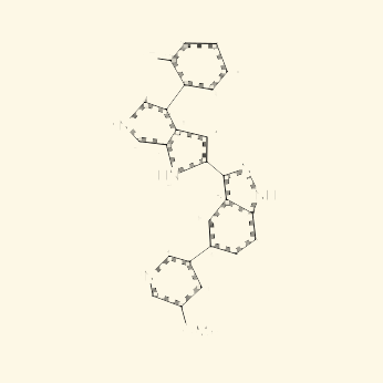 COc1cncc(-c2ccc3[nH]nc(-c4cc5c(-c6ccccc6F)cncc5[nH]4)c3c2)c1